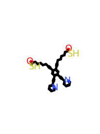 O=C(S)CCCCCC#Cc1cc(C#Cc2ccccn2)c(C#Cc2ccccn2)cc1C#CCCCCCC(=O)S